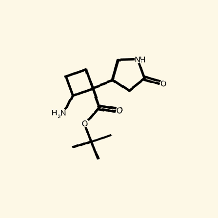 CC(C)(C)OC(=O)C1(C2CNC(=O)C2)CCC1N